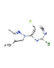 CCOC(=O)c1cn(-c2nc(Cl)ncc2F)nc1C